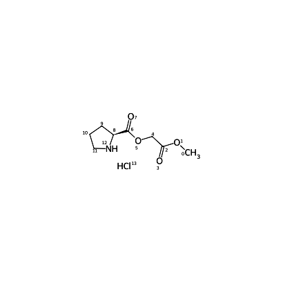 COC(=O)COC(=O)[C@@H]1CCCN1.Cl